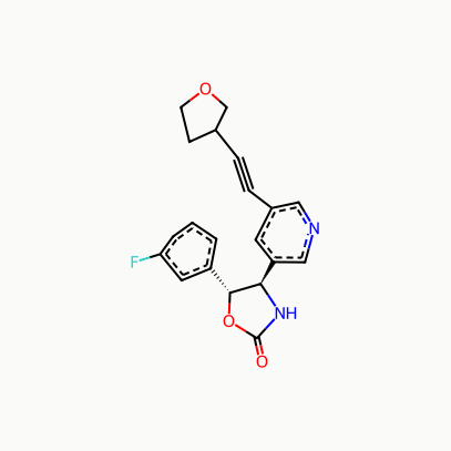 O=C1N[C@H](c2cncc(C#CC3CCOC3)c2)[C@@H](c2cccc(F)c2)O1